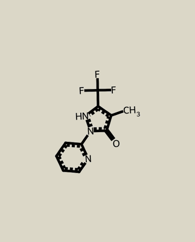 Cc1c(C(F)(F)F)[nH]n(-c2ccccn2)c1=O